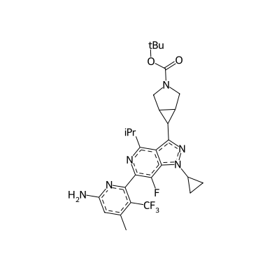 Cc1cc(N)nc(-c2nc(C(C)C)c3c(C4C5CN(C(=O)OC(C)(C)C)CC54)nn(C4CC4)c3c2F)c1C(F)(F)F